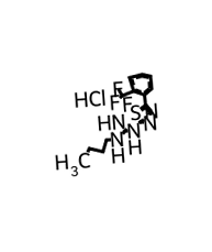 CCCCNC(=N)Nc1nnc(-c2ccccc2C(F)(F)F)s1.Cl